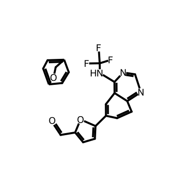 O=Cc1ccc(-c2ccc3ncnc(NC(F)(F)F)c3c2)o1.c1cc2ccc1CO2